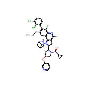 Cc1nc2c(F)c(-c3cccc(Cl)c3Cl)c(CCC#N)cc2c2c1cc(C1CC(Oc3cccnc3)CN1C(=O)C1CC1)n2C1C2CNC1C2